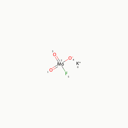 [K+].[O]=[Mo](=[O])([O-])[F]